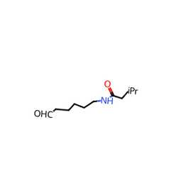 CC(C)CC(=O)NCCCCCC=O